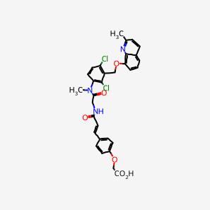 Cc1ccc2cccc(OCc3c(Cl)ccc(N(C)C(=O)CNC(=O)C=Cc4ccc(OCC(=O)O)cc4)c3Cl)c2n1